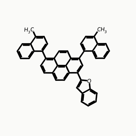 Cc1ccc(-c2ccc3ccc4c(-c5cc6ccccc6o5)cc(-c5ccc(C)c6ccccc56)c5ccc2c3c45)c2ccccc12